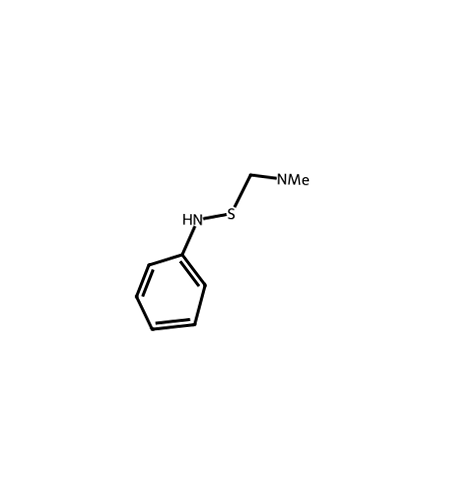 [CH2]NCSNc1ccccc1